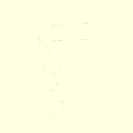 O=C(Nc1ccccn1)c1ccc(-c2csc3c(=O)cc(N4CCCCC4)oc23)cc1